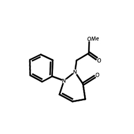 COC(=O)CN1C(=O)CC=CN1c1ccccc1